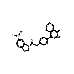 O=C(Cc1ccc(-c2n[nH]c(=O)c3ccccc23)cc1)N1CCc2ccc([N+](=O)[O-])cc21